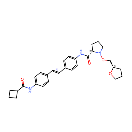 O=C(Nc1ccc(/C=C/c2ccc(NC(=O)[C@@H]3CCCN3OC[C@H]3CCCO3)cc2)cc1)C1CCC1